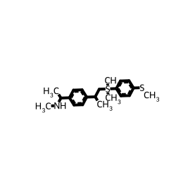 CNC(C)c1ccc(C(C)CS(C)(C)c2ccc(SC)cc2)cc1